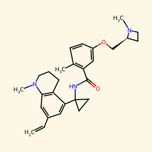 C=Cc1cc2c(c(C3(NC(=O)c4cc(OC[C@@H]5CCN5C)ccc4C)CC3)c1)CCCN2C